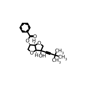 CC(C)(C)C#C[C@@]1(O)CO[C@@H]2[C@@H](OC(=O)c3ccccc3)CO[C@@H]21